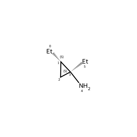 CC[C@H]1C[C@@]1(N)CC